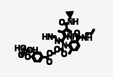 CCCNC(=O)c1ccc(C)c(N(C(=O)OCOC(=O)c2ccc(OP(=O)(O)O)cc2)/C(=N/C=N)c2[nH]cc(C(=O)NC3CC3)c2C)c1